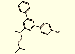 CC(C)CCN(C)c1cc(-c2ccccc2)cc(-c2ccc(O)cc2)n1